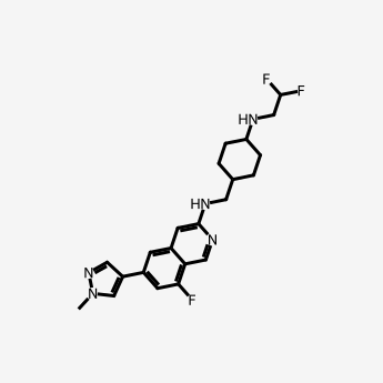 Cn1cc(-c2cc(F)c3cnc(NCC4CCC(NCC(F)F)CC4)cc3c2)cn1